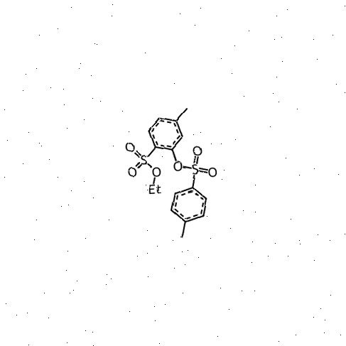 CCOS(=O)(=O)c1ccc(C)cc1OS(=O)(=O)c1ccc(C)cc1